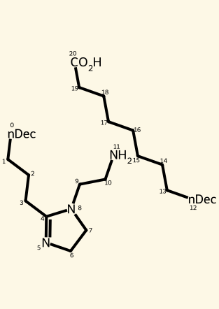 CCCCCCCCCCCCCC1=NCCN1CCN.CCCCCCCCCCCCCCCCCC(=O)O